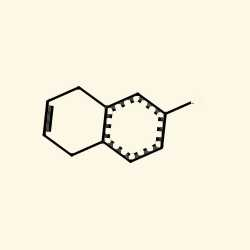 Brc1ccc2c(c1)CC=C[CH]2